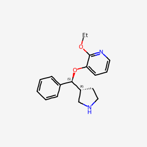 CCOc1ncccc1O[C@H](c1ccccc1)[C@@H]1CCNC1